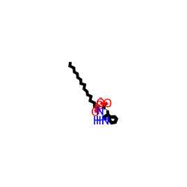 CCCCCCCCCCCCCCCCS(=O)(=O)N[C@@H](Cc1c[nH]c2ccccc12)C(=O)OC